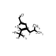 CC(C)Cc1cc(CCl)sc1C(F)(F)F